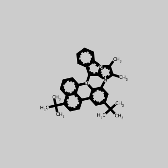 Cc1c(C)n2c3ccccc3c3c2n1-c1cc(C(C)(C)C)cc2c1B3c1cccc3c(C(C)(C)C)ccc-2c13